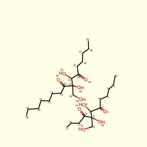 CCCCCC(=O)C(O)C(O)(CO)C(=O)CCC.CCCCCCCC(=O)C(O)(CO)C(O)C(=O)CCCCC